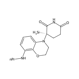 CCCNc1cccc2c1OCCN2[C@]1([SiH3])CCC(=O)NC1=O